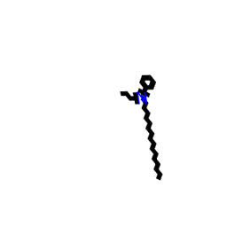 CCCCCCCCCCCCCCCCN(C(C)(C)CCC)C(C)(C)c1ccccc1